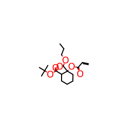 C=CC(=O)OC1(C(=O)OCCC)CCCCC1C(=O)OC(C)(C)C